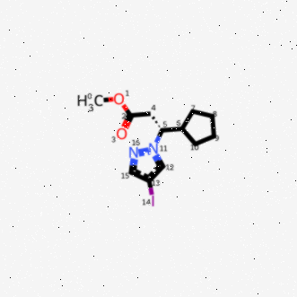 COC(=O)C[C@H](C1CCCC1)n1cc(I)cn1